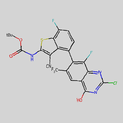 CC(C)(C)OC(=O)Nc1sc2c(F)ccc(-c3c(C(F)(F)F)cc4c(O)nc(Cl)nc4c3F)c2c1C#N